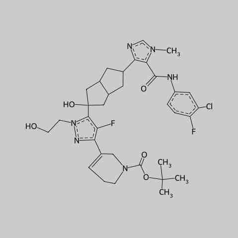 Cn1cnc(C2CC3CC(O)(c4c(F)c(C5=CCCN(C(=O)OC(C)(C)C)C5)nn4CCO)CC3C2)c1C(=O)Nc1ccc(F)c(Cl)c1